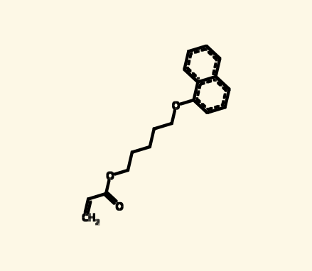 C=CC(=O)OCCCCCOc1cccc2ccccc12